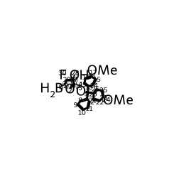 B[C@@H]1O[C@H](COC(c2ccccc2)(c2ccc(OC)cc2)c2ccc(OC)cc2)[C@H](O)C1F